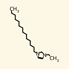 CCCCCCCCCCCCCCN1C=CN(CC)C1